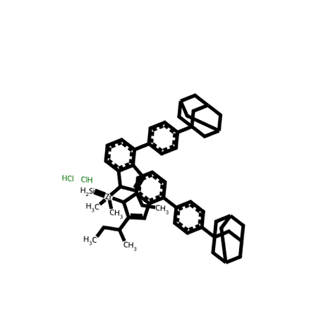 CCC1=Cc2c(-c3ccc(C45CC6CC(CC(C6)C4)C5)cc3)cccc2[CH]1[Zr]([CH3])([CH3])(=[SiH2])[CH]1C(C(C)CC)=Cc2c(-c3ccc(C45CC6CC(CC(C6)C4)C5)cc3)cccc21.Cl.Cl